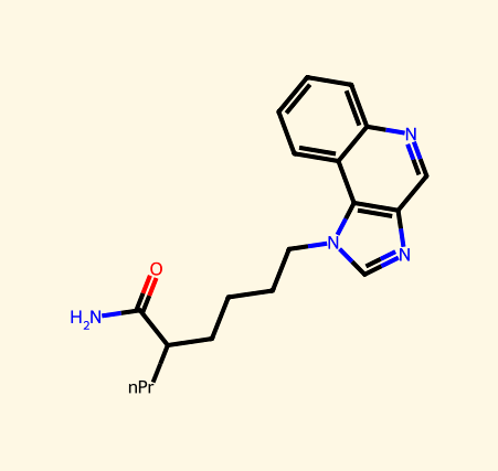 CCCC(CCCCn1cnc2cnc3ccccc3c21)C(N)=O